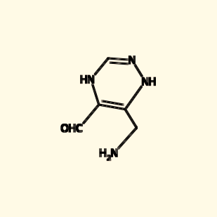 NCC1=C(C=O)NC=NN1